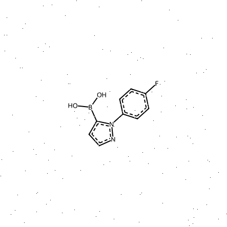 OB(O)c1ccnn1-c1ccc(F)cc1